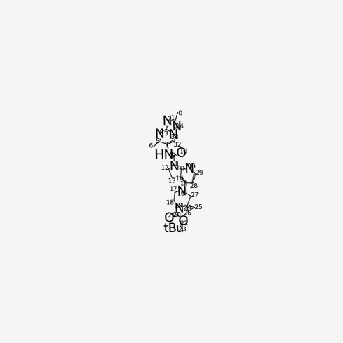 Cc1nc2nc(C)c(NC(=O)N3CCc4c(N5CCN(C(=O)OC(C)(C)C)C6(CC6)C5)ccnc43)cn2n1